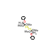 COC(OC)([SiH2]Oc1ccccc1)SSSSC(OC)(OC)[SiH2]Oc1ccccc1